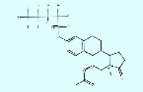 CC(=O)O[C@@H]1C[C@]2(C)C(=O)CCC2C2CCc3cc(OS(=O)(=O)C(F)(F)C(F)(F)C(F)(F)C(F)(F)F)ccc3C21